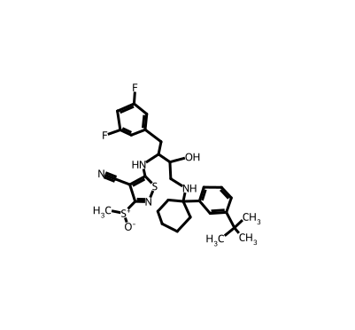 C[S+]([O-])c1nsc(NC(Cc2cc(F)cc(F)c2)C(O)CNC2(c3cccc(C(C)(C)C)c3)CCCCC2)c1C#N